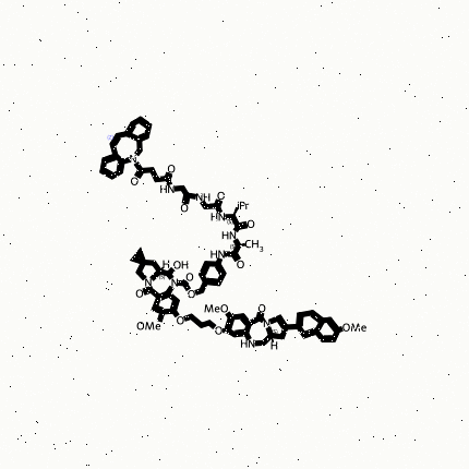 COc1ccc2cc(C3=CN4C(=O)c5cc(OC)c(OCCCOc6cc7c(cc6OC)C(=O)N6CC8(CC8)C[C@H]6C(O)N7C(=O)OCc6ccc(NC(=O)[C@H](C)NC(=O)[C@@H](NC(=O)CNC(=O)CNC(=O)CCC(=O)N7Cc8ccccc8/C=C\c8ccccc87)C(C)C)cc6)cc5NC[C@@H]4C3)ccc2c1